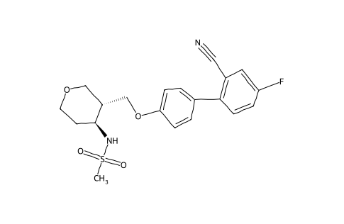 CS(=O)(=O)N[C@H]1CCOC[C@@H]1COc1ccc(-c2ccc(F)cc2C#N)cc1